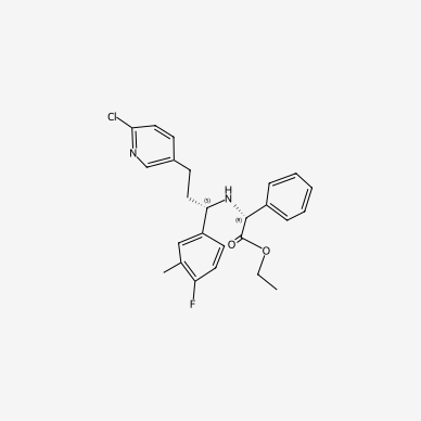 CCOC(=O)[C@H](N[C@@H](CCc1ccc(Cl)nc1)c1ccc(F)c(C)c1)c1ccccc1